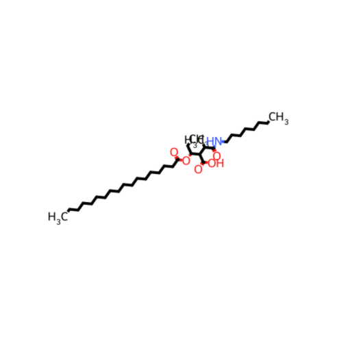 CCCCCCCCCCCCCCCCCC(=O)OC(CC)C(C(=O)O)C(C)C(=O)NCCCCCCCC